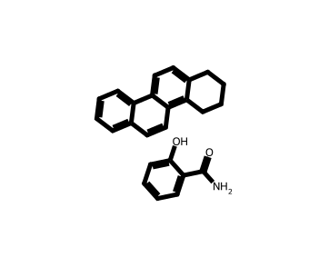 NC(=O)c1ccccc1O.c1ccc2c(c1)ccc1c3c(ccc12)CCCC3